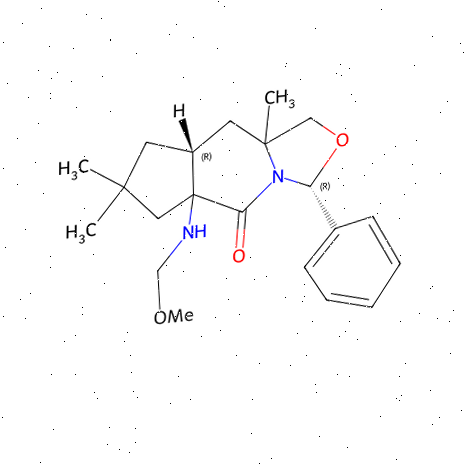 COCNC12CC(C)(C)C[C@@H]1CC1(C)CO[C@H](c3ccccc3)N1C2=O